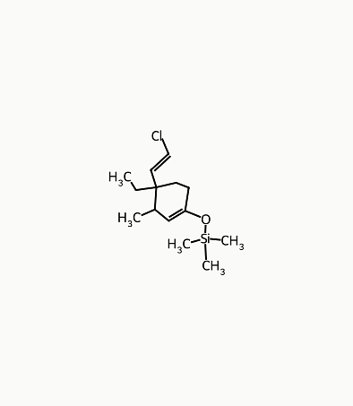 CCC1(C=CCl)CCC(O[Si](C)(C)C)=CC1C